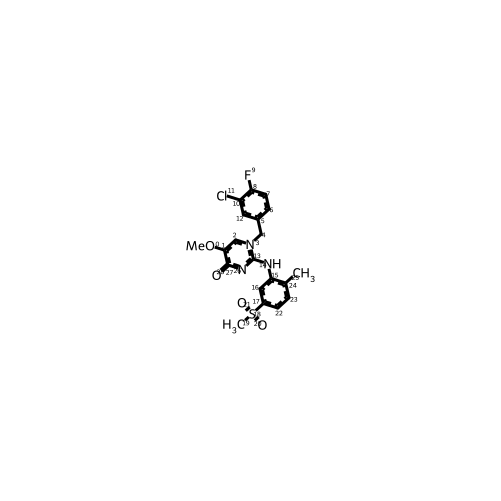 COc1cn(Cc2ccc(F)c(Cl)c2)c(Nc2cc(S(C)(=O)=O)ccc2C)nc1=O